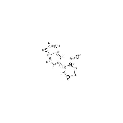 O=CN1CCOC=C1c1ccc2scnc2c1